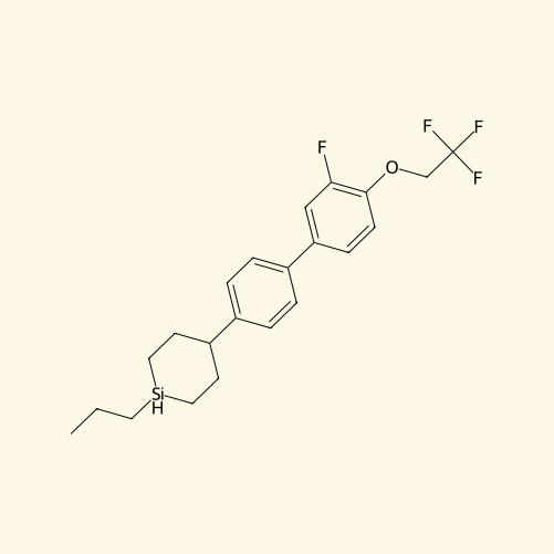 CCC[SiH]1CCC(c2ccc(-c3ccc(OCC(F)(F)F)c(F)c3)cc2)CC1